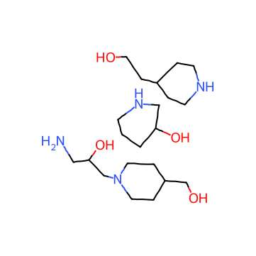 NCC(O)CN1CCC(CO)CC1.OC1CCCNC1.OCCC1CCNCC1